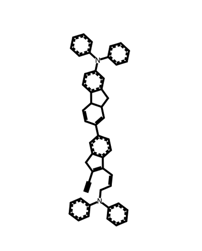 C#CC1=C(/C=C\CN(c2ccccc2)c2ccccc2)c2ccc(C3=CC4Cc5cc(N(c6ccccc6)c6ccccc6)ccc5C4C=C3)cc2C1